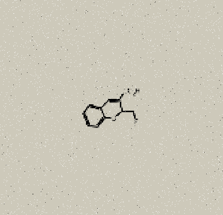 O=C(O)C1=Cc2ccccc2OC1CF